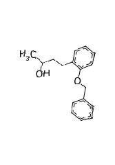 CC(O)CCc1ccccc1OCc1ccccc1